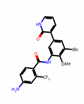 COc1c(NC(=O)c2ccc(N)cc2C(F)(F)F)cc(-c2ccc[nH]c2=O)cc1C(C)(C)C